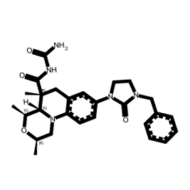 C[C@@H]1CN2c3ccc(N4CCN(Cc5ccccc5)C4=O)cc3C[C@@](C)(C(=O)NC(N)=O)[C@H]2[C@H](C)O1